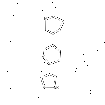 c1cn[nH]c1.c1cncc(-c2cccnc2)c1